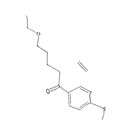 C=C.CCOCCCCC(=O)c1ccc(SC)cc1